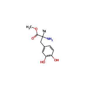 [2H]C(N)(Cc1ccc(O)c(O)c1)C(=O)OC